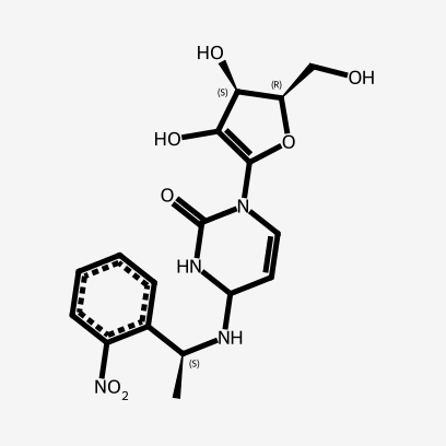 C[C@H](NC1C=CN(C2=C(O)[C@@H](O)[C@@H](CO)O2)C(=O)N1)c1ccccc1[N+](=O)[O-]